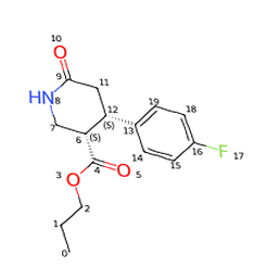 CCCOC(=O)[C@@H]1CNC(=O)C[C@@H]1c1ccc(F)cc1